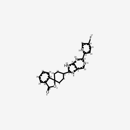 O=C1OC2(CCC(c3nc4cnc(-c5ccc(F)cn5)nc4[nH]3)CC2)c2ccccc21